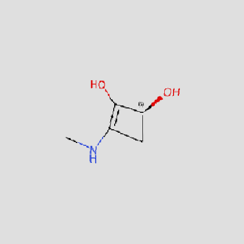 CNC1=C(O)[C@@H](O)C1